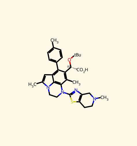 Cc1ccc(-c2c([C@H](OC(C)(C)C)C(=O)O)c(C)c3c4c2cc(C)n4CCN3c2nc3c(s2)CCN(C)C3)cc1